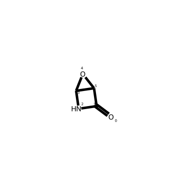 O=C1NC2OC12